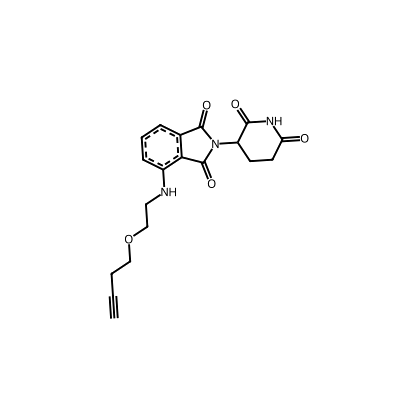 C#CCCOCCNc1cccc2c1C(=O)N(C1CCC(=O)NC1=O)C2=O